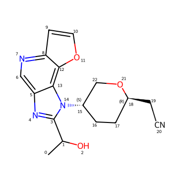 CC(O)c1nc2cnc3ccoc3c2n1[C@H]1CC[C@H](CC#N)OC1